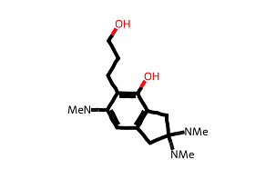 CNc1cc2c(c(O)c1CCCO)CC(NC)(NC)C2